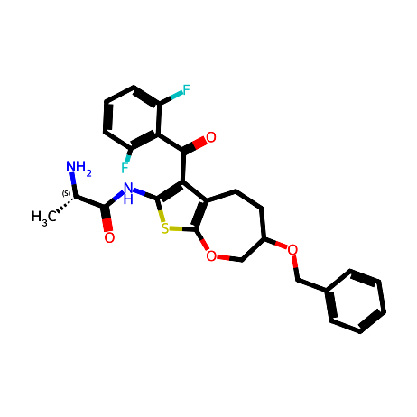 C[C@H](N)C(=O)Nc1sc2c(c1C(=O)c1c(F)cccc1F)CCC(OCc1ccccc1)CO2